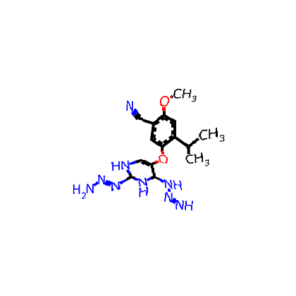 COc1cc(C(C)C)c(OC2=CNC(N=NN)NC2NN=N)cc1C#N